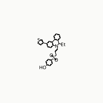 CCC1c2ccccc2-c2cc(-c3ccsc3)ccc2N1C=CCS(=O)(=O)c1ccc(O)cc1